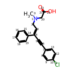 CN(C/C=C(/C#Cc1ccc(Cl)cc1)c1ccccc1)CC(=O)O